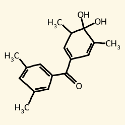 CC1=CC(C(=O)c2cc(C)cc(C)c2)=CC(C)C1(O)O